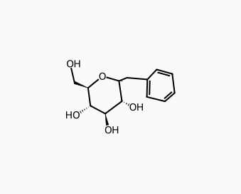 OC[C@H]1O[C](Cc2ccccc2)[C@H](O)[C@@H](O)[C@@H]1O